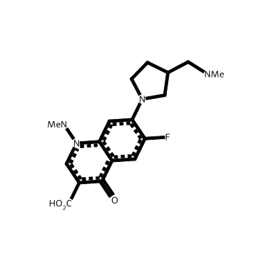 CNCC1CCN(c2cc3c(cc2F)c(=O)c(C(=O)O)cn3NC)C1